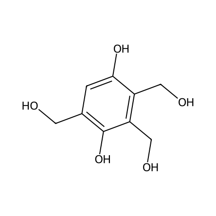 OCc1cc(O)c(CO)c(CO)c1O